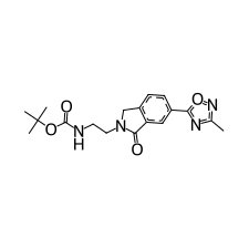 Cc1noc(-c2ccc3c(c2)C(=O)N(CCNC(=O)OC(C)(C)C)C3)n1